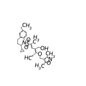 C#C/C(OCc1c(C)noc1C)=C(\C=C(/C)S(=O)(=O)N1c2ccc(CC)cc2CCC1C1CC1)CO